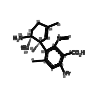 C=Nc1c(C(=O)O)c(CCC)cc(C)c1[C@]1(C)C=C(C)CC[C@@]1(N)C(C)(C)C